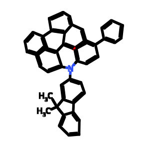 CC1(C)c2ccccc2-c2ccc(N(c3ccc(-c4ccccc4)cc3)c3ccccc3-c3cccc4cccc(-c5ccccc5)c34)cc21